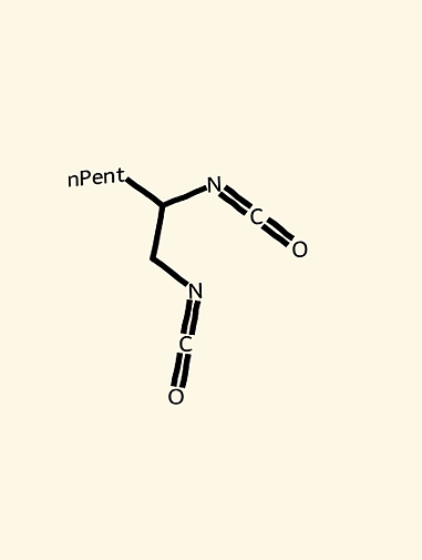 CCCCCC(CN=C=O)N=C=O